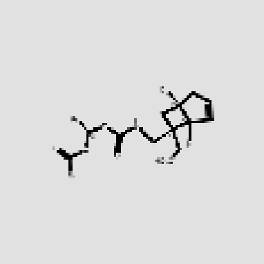 CCC(=O)O[C@H](OC(=O)NC[C@@]1(CC(=O)O)C[C@]2(CC)CC=C[C@@H]21)C(C)C